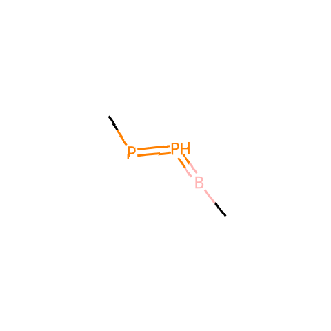 CB=[PH]=PC